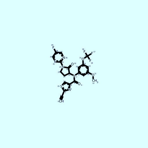 C#Cc1nc(C(=O)N(c2cc(OC)cc(OC(F)(F)F)c2)C2CCN(c3ncc(F)cn3)C2=O)cs1